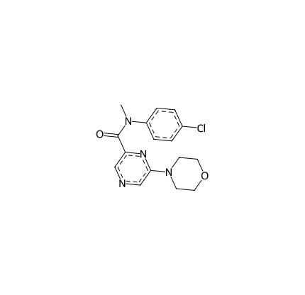 CN(C(=O)c1cncc(N2CCOCC2)n1)c1ccc(Cl)cc1